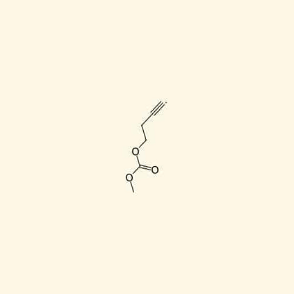 [C]#CCCOC(=O)OC